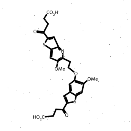 COc1cc2sc(C(=O)CCC(=O)O)cc2cc1OCCc1nc2cc(C(=O)CCC(=O)O)sc2cc1OC